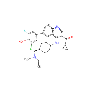 CN(CC#N)C[C@H]1CC[C@H](Nc2c(C(=O)C3CC3)cnc3ccc(-c4cc(F)c(O)c(Cl)c4)cc23)CC1